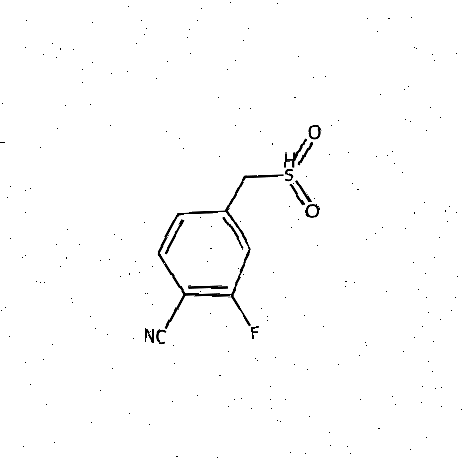 N#Cc1ccc(C[SH](=O)=O)cc1F